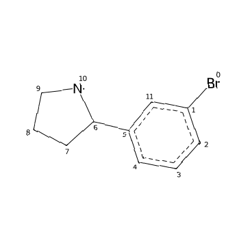 Brc1cccc(C2CCC[N]2)c1